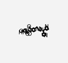 O=C1CCN(N2C(=O)c3ccc(CN4CCN(C(c5cccnc5)c5cccnc5)CC4)cc3C2=O)C(=O)N1